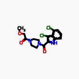 COCC(=O)N1CCN(C(=O)c2[nH]c3cccc(Cl)c3c2Cl)CC1